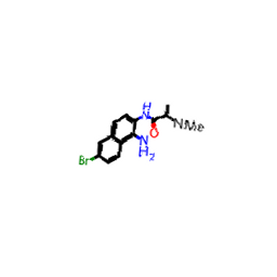 CNC(C)C(=O)Nc1ccc2cc(Br)ccc2c1N